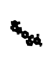 Cc1cnn2c1-c1nc(N3CCN(C(=O)N4N=CC[C@H]4c4cc(F)cc(F)c4)CC3)sc1CO2